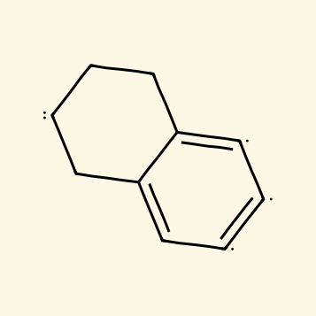 [C]1CCc2[c][c][c]cc2C1